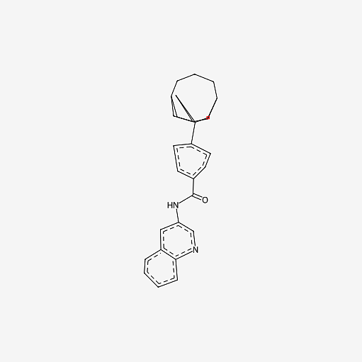 O=C(Nc1cnc2ccccc2c1)c1ccc(C23CC4CCCC(CC(C4)C2)C3)cc1